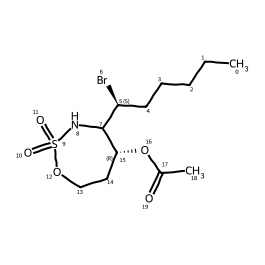 CCCCC[C@H](Br)C1NS(=O)(=O)OCC[C@H]1OC(C)=O